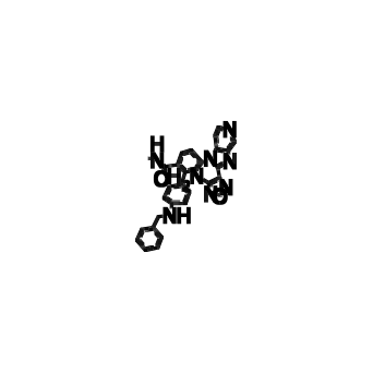 CNC(=O)c1ccc(-n2c(-c3nonc3N)nc3cnccc32)cc1-c1ccc(NCc2ccccc2)cc1